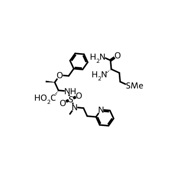 CSCC[C@H](N)C(N)=O.C[C@@H](OCc1ccccc1)[C@H](NS(=O)(=O)N(C)CCc1ccccn1)C(=O)O